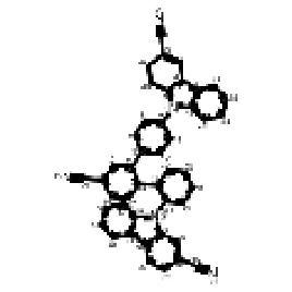 N#CC1=Cc2c(n(-c3ccc(-c4cc(C#N)ccc4-c4ccccc4-n4c5ccccc5c5ccc(C#N)cc54)cc3)c3ccccc23)CC1